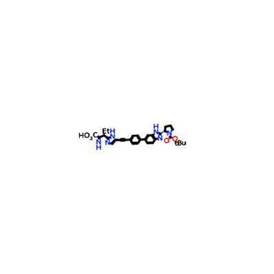 CC[C@@H](C(=N)C(=O)O)c1ncc(C#Cc2ccc(-c3ccc4nc([C@@H]5CCCN5C(=O)OC(C)(C)C)[nH]c4c3)cc2)[nH]1